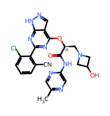 Cc1cnc(NC(=O)[C@H](CN2CC(O)C2)Oc2nc(-c3c(Cl)cccc3C#N)nc3[nH]ncc23)cn1